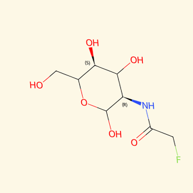 O=C(CF)N[C@H]1C(O)OC(CO)[C@@H](O)C1O